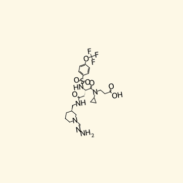 NN=CN1CCC[C@@H](CNC(=O)C[C@H](NS(=O)(=O)c2ccc(OC(F)(F)F)cc2)C(=O)N(CCC(=O)O)C2CC2)C1